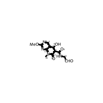 COc1ncc2c(O)c(C(=O)NCC=O)c(=O)n(C)c2n1